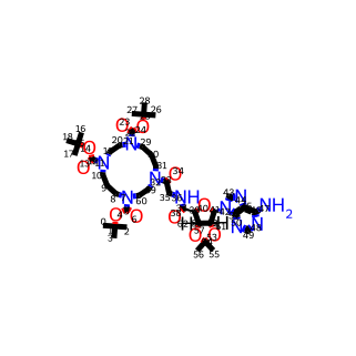 CC(C)(C)OC(=O)N1CCCN(C(=O)OC(C)(C)C)CCN(C(=O)OC(C)(C)C)CCCN(C(=O)CNC(=O)[C@H]2O[C@@H](n3cnc4c(N)ncnc43)[C@@H]3OC(C)(C)O[C@@H]32)CC1